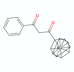 O=C(CC(=O)[C]12[CH]3[CH]4[CH]5[CH]1[Ru]45321678[CH]2[CH]1[CH]6[CH]7[CH]28)c1ccccc1